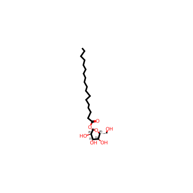 CCCCCCCCCCCCCCCCCC(=O)O[C@H]1O[C@H](CO)[C@@H](O)[C@H](O)[C@H]1O